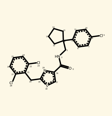 O=C(NCC1(c2ccc(Cl)cc2)CCCC1)c1csc(Cc2c(Cl)cccc2Cl)n1